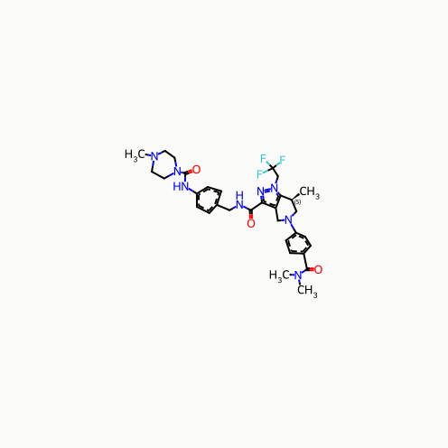 C[C@H]1CN(c2ccc(C(=O)N(C)C)cc2)Cc2c(C(=O)NCc3ccc(NC(=O)N4CCN(C)CC4)cc3)nn(CC(F)(F)F)c21